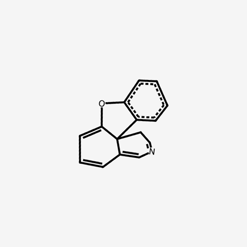 C1=CC2=CN=CCC23C(=C1)Oc1ccccc13